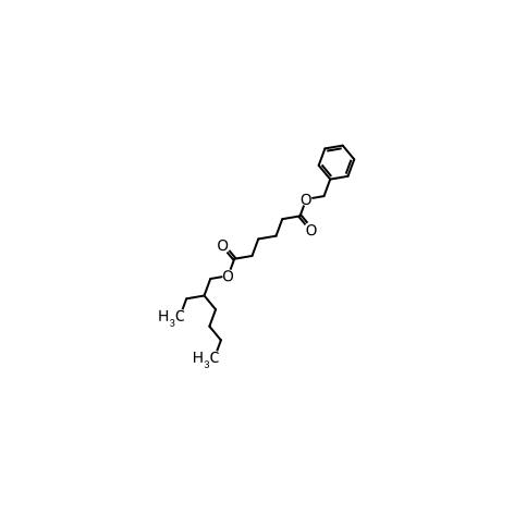 CCCCC(CC)COC(=O)CCCCC(=O)OCc1ccccc1